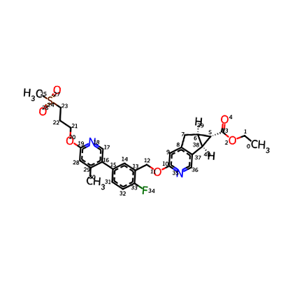 CCOC(=O)[C@H]1[C@@H]2Cc3cc(OCc4cc(-c5cnc(OCCCS(C)(=O)=O)cc5C)ccc4F)ncc3[C@@H]21